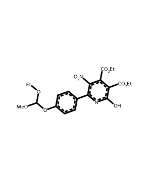 CCOC(=O)c1c(O)nc(-c2ccc(OC(OC)OCC)cc2)c([N+](=O)[O-])c1C(=O)OCC